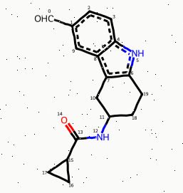 O=Cc1ccc2[nH]c3c(c2c1)CC(NC(=O)C1CC1)CC3